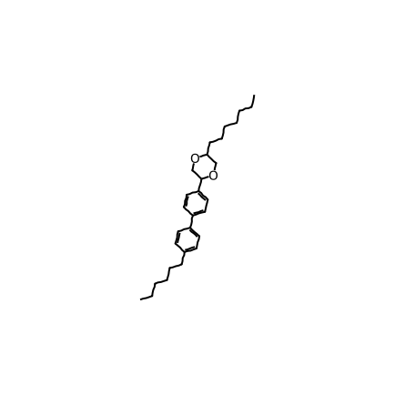 CCCCCCCC1COC(c2ccc(-c3ccc(CCCCCC)cc3)cc2)CO1